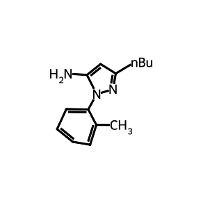 CCCCc1cc(N)n(-c2ccccc2C)n1